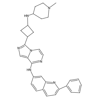 CN1CCC(NC2CC(c3ncc4c(Nc5ccc6ccc(-c7ccccc7)nc6c5)nccn34)C2)CC1